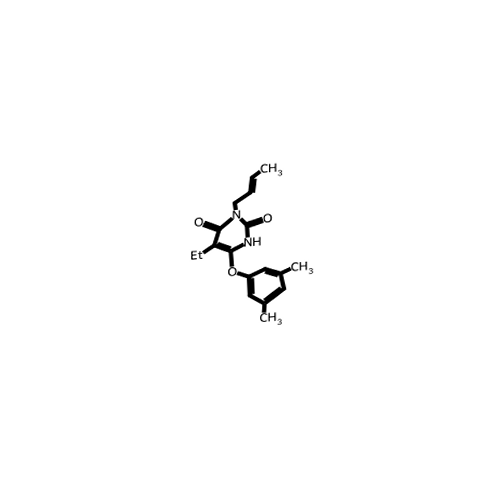 C/C=C/Cn1c(=O)[nH]c(Oc2cc(C)cc(C)c2)c(CC)c1=O